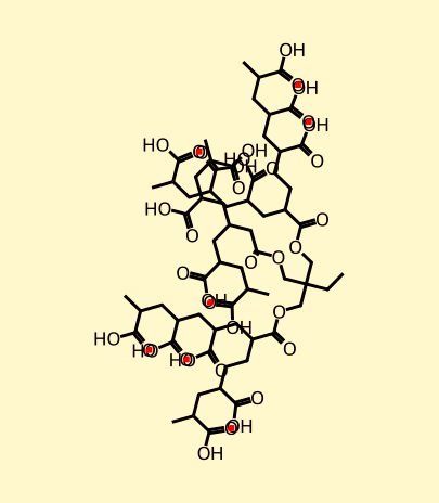 CCC(COC(=O)CC(CC(CC(C)C(=O)O)C(=O)O)CC(CC(C)C(=O)O)C(=O)O)(COC(=O)C(CCC(CC(C)C(=O)O)C(=O)O)CC(CC(CC(C)C(=O)O)C(=O)O)C(=O)O)COC(=O)C(CCC(CC(CC(C)C(=O)O)C(=O)O)C(=O)O)CC(CC(CC(C)C(=O)O)C(=O)O)C(=O)O